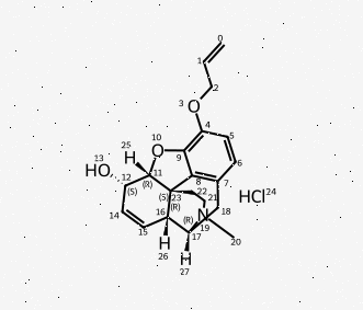 C=CCOc1ccc2c3c1O[C@H]1[C@@H](O)C=C[C@H]4[C@@H](C2)N(C)CC[C@@]341.Cl